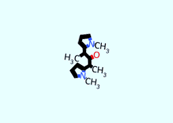 CC(C(=O)C(C)c1cccn1C)c1cccn1C